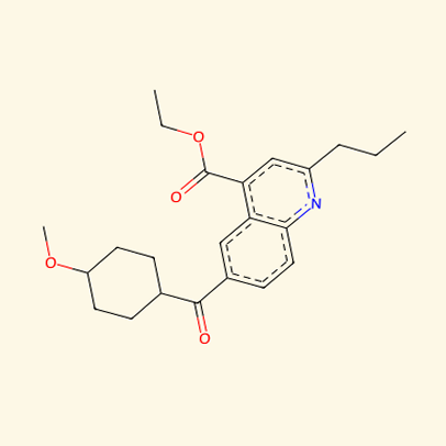 CCCc1cc(C(=O)OCC)c2cc(C(=O)C3CCC(OC)CC3)ccc2n1